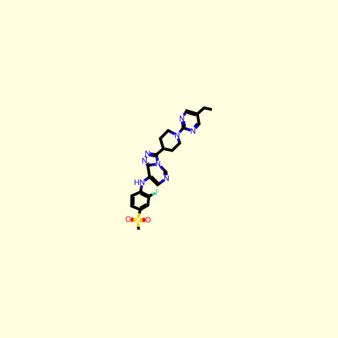 CCc1cnc(N2CCC(c3nnc4c(Nc5ccc(S(C)(=O)=O)cc5F)cncn34)CC2)nc1